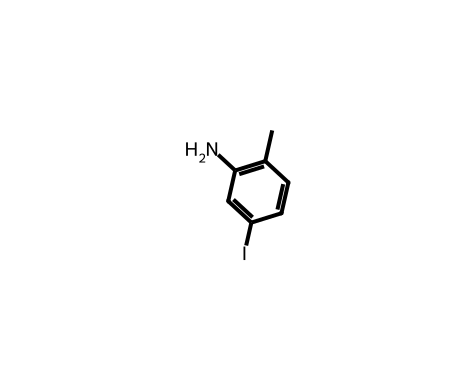 Cc1ccc(I)cc1N